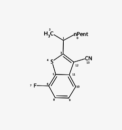 CCCCCC(C)c1sc2c(F)cccc2c1C#N